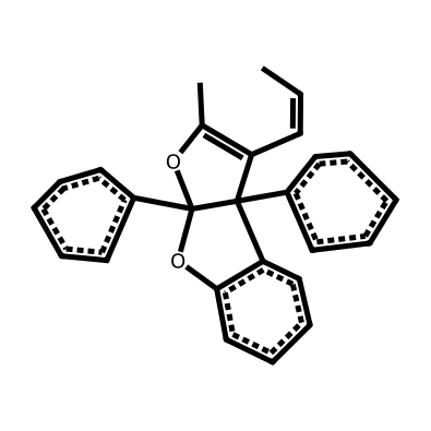 C/C=C\C1=C(C)OC2(c3ccccc3)Oc3ccccc3C12c1ccccc1